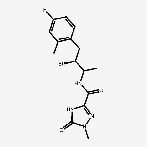 CC[C@@H](Cc1ccc(F)cc1F)C(C)NC(=O)c1nn(C)c(=O)[nH]1